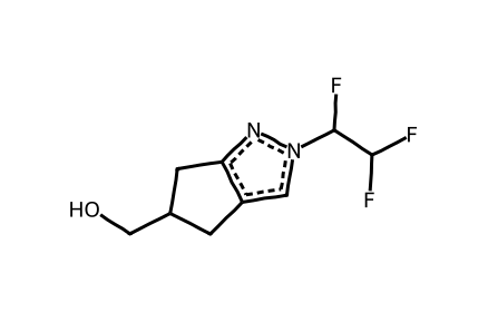 OCC1Cc2cn(C(F)C(F)F)nc2C1